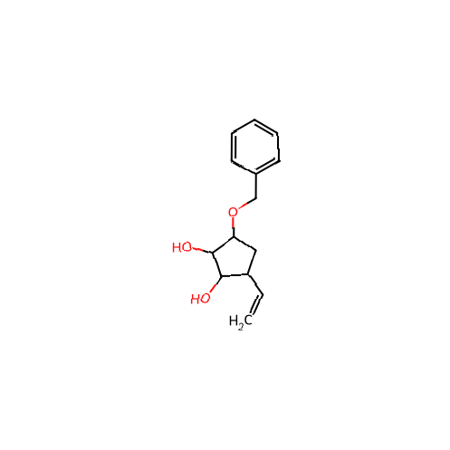 C=CC1CC(OCc2ccccc2)C(O)C1O